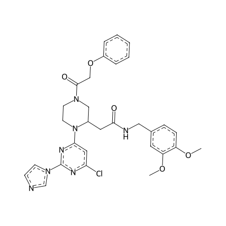 COc1ccc(CNC(=O)CC2CN(C(=O)COc3ccccc3)CCN2c2cc(Cl)nc(-n3ccnc3)n2)cc1OC